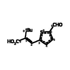 CC(C)(C)/C(=C\c1ccc(C=O)s1)C(=O)O